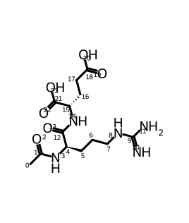 CC(=O)N[C@H](CCCNC(=N)N)C(=O)N[C@@H](CCC(=O)O)C(=O)O